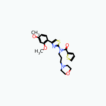 COc1ccc(-c2csc(N(CCCN3CCOCC3)C(=O)c3cccs3)n2)c(OC)c1